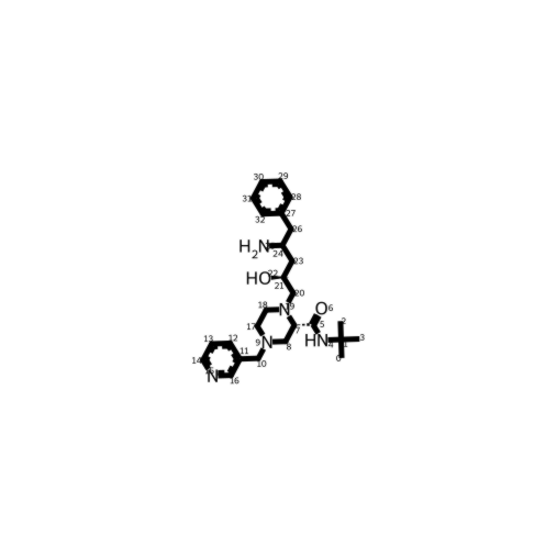 CC(C)(C)NC(=O)[C@@H]1CN(Cc2cccnc2)CCN1C[C@@H](O)CC(N)Cc1ccccc1